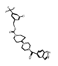 O=C(OCc1cc(Cl)cc(C(F)(F)F)c1)N1CCC(N2CCN(C(=O)c3ccc4[nH]ncc4c3)CC2)CC1